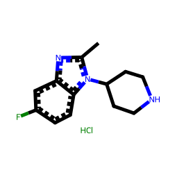 Cc1nc2cc(F)ccc2n1C1CCNCC1.Cl